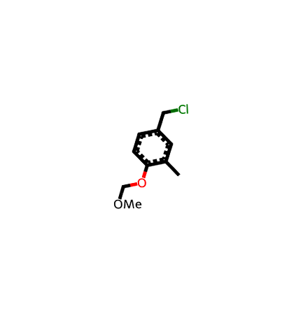 COCOc1ccc(CCl)cc1C